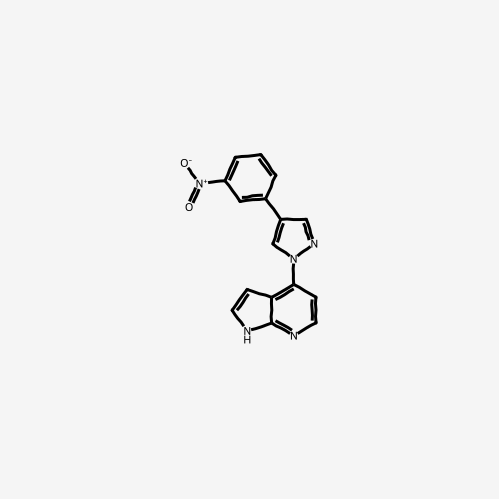 O=[N+]([O-])c1cccc(-c2cnn(-c3ccnc4[nH]ccc34)c2)c1